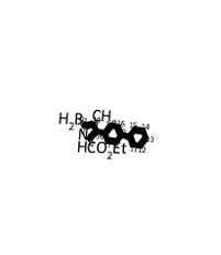 Bc1[nH]c(C(=O)OCC)c(-c2ccc(-c3ccccc3)cc2)c1C